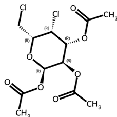 CC(=O)O[C@H]1O[C@H](CCl)[C@H](Cl)[C@H](OC(C)=O)[C@H]1OC(C)=O